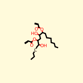 C=CC(=O)OC(CCCCCCC)C(O)CC(OC(=O)C=C)C(O)CCCCC